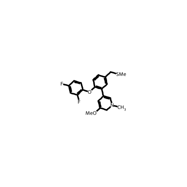 COC1=CC(c2cc(CSC)ccc2Oc2ccc(F)cc2F)=CN(C)C1